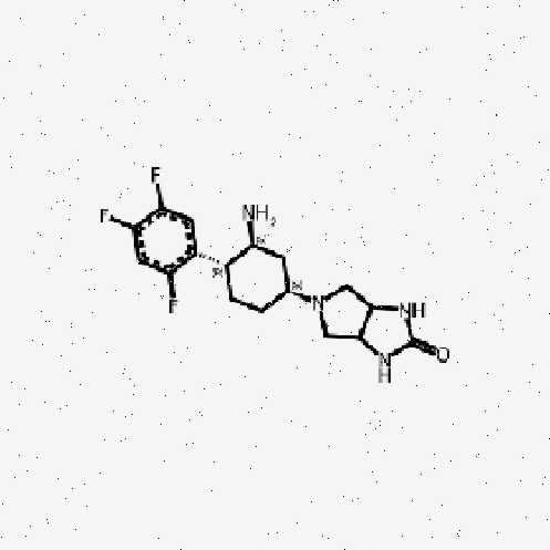 N[C@H]1C[C@@H](N2CC3NC(=O)NC3C2)CC[C@@H]1c1cc(F)c(F)cc1F